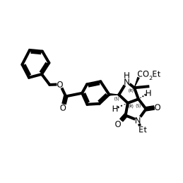 CCOC(=O)[C@]1(C)N[C@H](c2ccc(C(=O)OCc3ccccc3)cc2)[C@@H]2C(=O)N(CC)C(=O)[C@@H]21